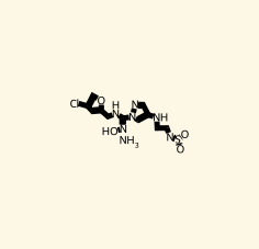 N.O=S(=O)=NCCNc1cnn(C(=NO)NCc2cc(Cl)co2)c1